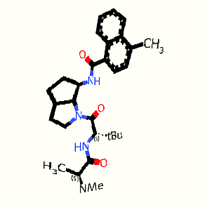 CN[C@@H](C)C(=O)N[C@H](C(=O)N1CCC2CCC(NC(=O)c3ccc(C)c4ccccc34)C21)C(C)(C)C